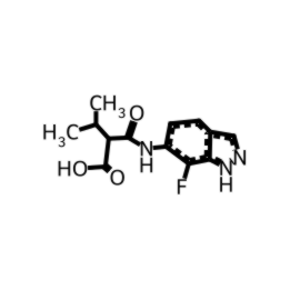 CC(C)C(C(=O)O)C(=O)Nc1ccc2cn[nH]c2c1F